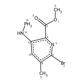 COC(=O)c1nc(Br)c(C)cc1NP